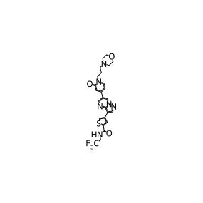 O=C(NCC(F)(F)F)c1cc(-c2cnn3cc(-c4ccn(CCCN5CCOCC5)c(=O)c4)cnc23)cs1